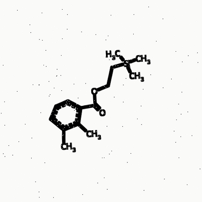 Cc1cccc(C(=O)OCC[Si](C)(C)C)c1C